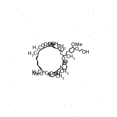 CO[C@H]1C[C@@H]2CC[C@@H](C)[C@@](O)(O2)C(=O)C(C)N2CCCC[C@H]2C(=O)OC([C@@H](C)C[C@@H]2CC[C@@H](OCCO)[C@H](OC)C2)CC(=O)[C@H](C)/C=C(\C)[C@@H](O)[C@@H](OC)C(=O)[C@H](C)C[C@H](C)/C=C/C=C/C=C/1C